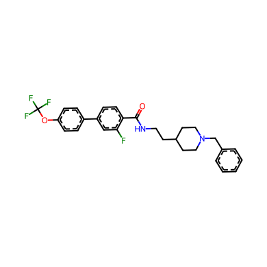 O=C(NCCC1CCN(Cc2ccccc2)CC1)c1ccc(-c2ccc(OC(F)(F)F)cc2)cc1F